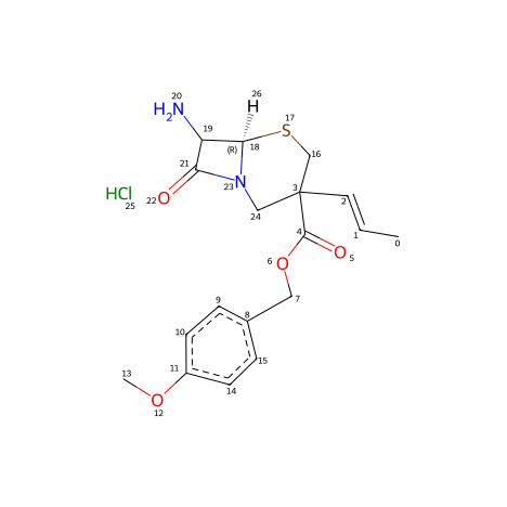 CC=CC1(C(=O)OCc2ccc(OC)cc2)CS[C@@H]2C(N)C(=O)N2C1.Cl